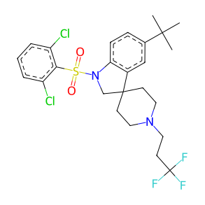 CC(C)(C)c1ccc2c(c1)C1(CCN(CCC(F)(F)F)CC1)CN2S(=O)(=O)c1c(Cl)cccc1Cl